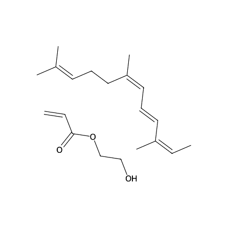 C=CC(=O)OCCO.CC=C(C)C=CC=C(C)CCC=C(C)C